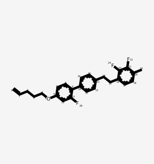 C=CCCCOc1ccc(-c2ccc(CCc3ccc(C)c(F)c3F)cc2)c(F)c1